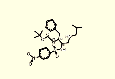 CC(C)CNC[C@@H](NS(=O)(=O)c1ccc([N+](=O)[O-])cc1)[C@H](Cc1ccccc1)NC(=O)OC(C)(C)C